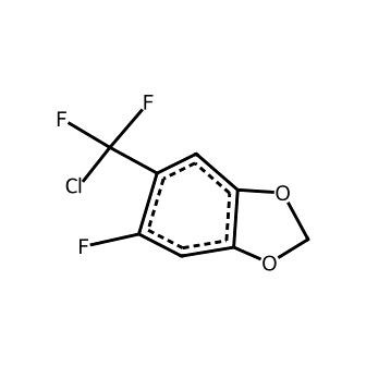 Fc1cc2c(cc1C(F)(F)Cl)OCO2